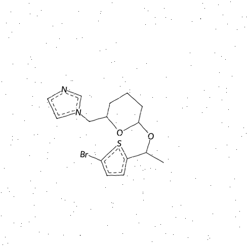 CC(OC1CCCC(Cn2ccnc2)O1)c1ccc(Br)s1